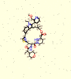 CCn1c(-c2cccnc2[C@H](C)OC)c2c3cc(ccc31)-c1csc(n1)C[C@H](NC(=O)C(C)C1CCOCC1)C(=O)N1CCC[C@H](N1)C(=O)OCC(C)(C)C2